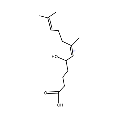 CC(C)=CCC/C(C)=C\C(O)CCCC(=O)O